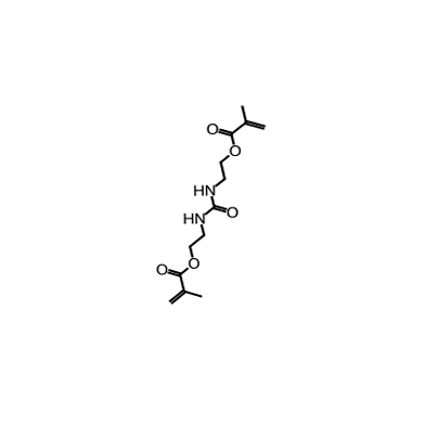 C=C(C)C(=O)OCCNC(=O)NCCOC(=O)C(=C)C